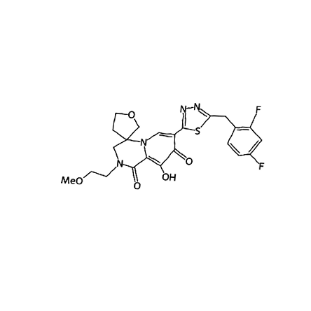 COCCN1CC2(CCOC2)n2cc(-c3nnc(Cc4ccc(F)cc4F)s3)c(=O)c(O)c2C1=O